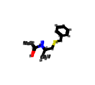 COC(=O)NC(CSCc1ccccc1)C(=O)O